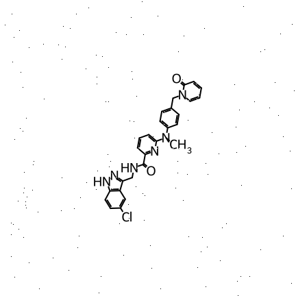 CN(c1ccc(Cn2ccccc2=O)cc1)c1cccc(C(=O)NCc2n[nH]c3ccc(Cl)cc23)n1